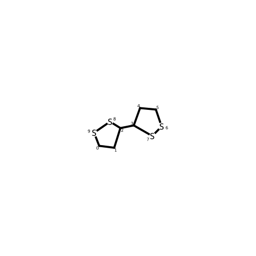 C1CC(C2CCSS2)SS1